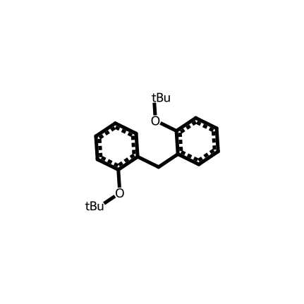 CC(C)(C)Oc1ccccc1Cc1ccccc1OC(C)(C)C